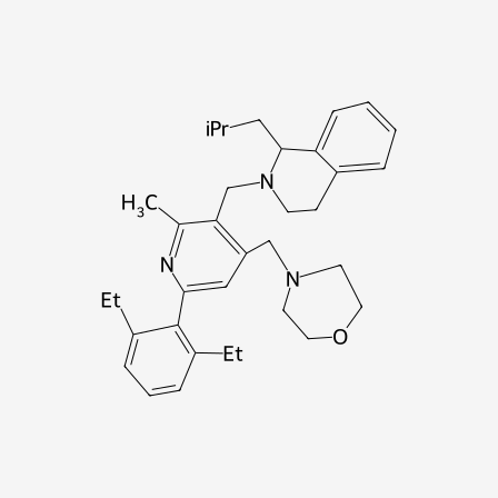 CCc1cccc(CC)c1-c1cc(CN2CCOCC2)c(CN2CCc3ccccc3C2CC(C)C)c(C)n1